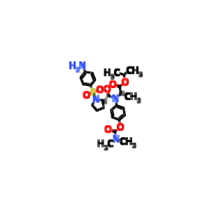 CC(C)OC(=O)[C@H](C)N(C(=O)[C@@H]1CCCN1S(=O)(=O)c1ccc(N)cc1)c1ccc(OC(=O)N(C)C)cc1